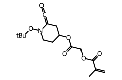 C=C(C)C(=O)OCC(=O)OC1CCN(OC(C)(C)C)C(=C=O)C1